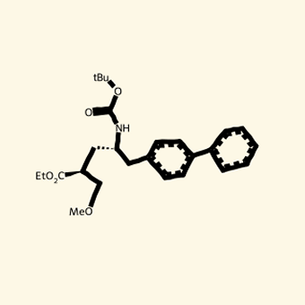 CCOC(=O)[C@H](COC)C[C@@H](Cc1ccc(-c2ccccc2)cc1)NC(=O)OC(C)(C)C